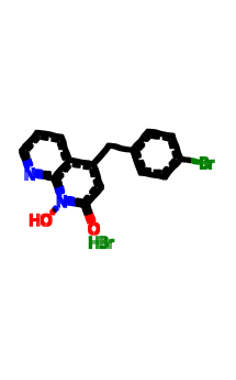 Br.O=c1cc(Cc2ccc(Br)cc2)c2cccnc2n1O